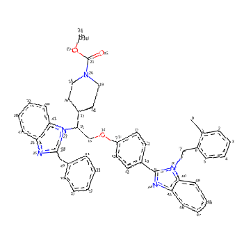 Cc1ccccc1Cn1c(-c2ccc(OCC(C3CCN(C(=O)OC(C)(C)C)CC3)n3c(-c4ccccc4)nc4ccccc43)cc2)nc2ccccc21